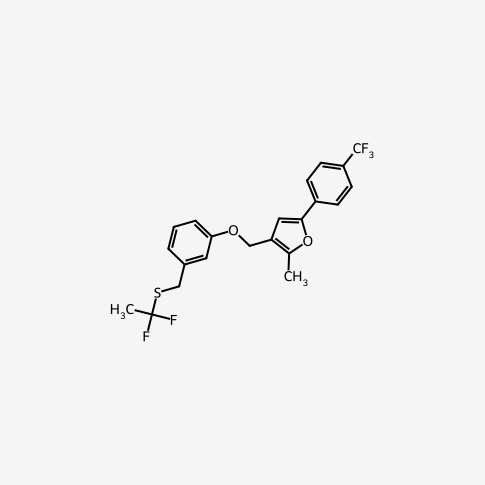 Cc1oc(-c2ccc(C(F)(F)F)cc2)cc1COc1cccc(CSC(C)(F)F)c1